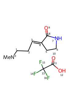 CNCC/C=C1\CCNC1=O.O=C(O)C(F)(F)F